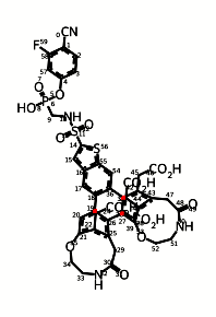 N#Cc1ccc(OP(=O)(O)CNS(=O)(=O)c2cc3cc(-c4cc5c(CC(=O)O)c(c4CC(=O)O)CC(=O)NCCO5)c(-c4cc5c(CC(=O)O)c(c4CC(=O)O)CC(=O)NCCO5)cc3s2)cc1F